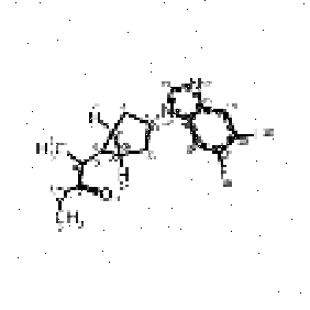 COC(=O)C(C)[C@H]1[C@@H]2C[C@H](n3cnc4cc(F)c(F)cc43)C[C@@H]21